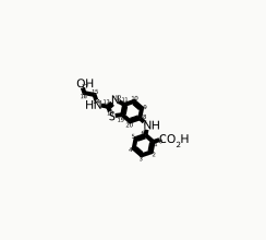 O=C(O)c1ccccc1Nc1ccc2nc(NCCO)sc2c1